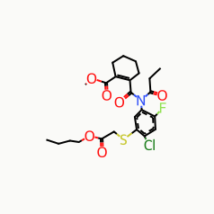 CCCCOC(=O)CSc1cc(N(C(=O)CC)C(=O)C2=C(C(=O)OC)CCCC2)c(F)cc1Cl